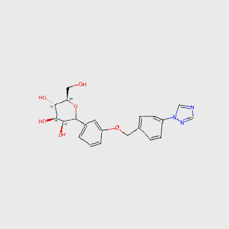 OC[C@H]1OC(c2cccc(OCc3ccc(-n4cncn4)cc3)c2)[C@@H](O)[C@@H](O)[C@@H]1O